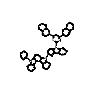 c1ccc(-n2c3ccccc3c3c4c5ccccc5n(-c5ccc6c(c5)c5ccccc5n6-c5nc(-c6ccc7ccccc7c6)cc(-c6ccc7ccccc7c6)n5)c4ccc32)cc1